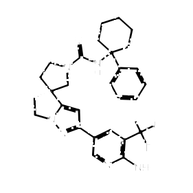 Nc1ncc(-c2cc3n(n2)CC[C@@]32CCN(C(=O)NC3(c4ccccc4)CCCCC3)C2)cc1C(F)(F)F